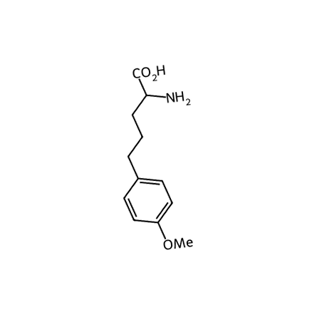 COc1ccc(CCCC(N)C(=O)O)cc1